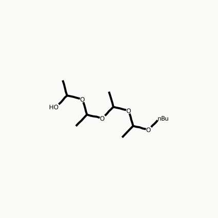 CCCCOC(C)OC(C)OC(C)OC(C)O